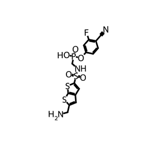 N#Cc1ccc(OP(=O)(O)CNS(=O)(=O)c2cc3cc(CN)sc3s2)cc1F